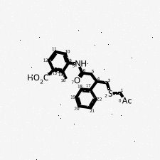 CC(=O)CSCC(CC(=O)Nc1cccc(C(=O)O)c1C)c1ccccc1